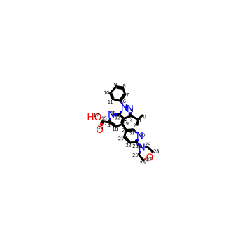 CC(C)c1nn(-c2ccccc2)c2nc(C(=O)O)cc(-c3ccc(N4CCOCC4)nc3)c12